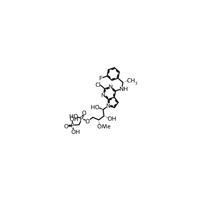 CO[C@H](COP(=O)(O)CP(=O)(O)O)[C@@H](O)[C@@H](O)n1ccc2c(N[C@@H](C)c3cccc(F)c3)nc(Cl)nc21